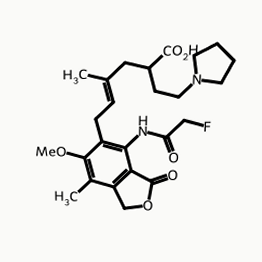 COc1c(C)c2c(c(NC(=O)CF)c1C/C=C(\C)CC(CCN1CCCC1)C(=O)O)C(=O)OC2